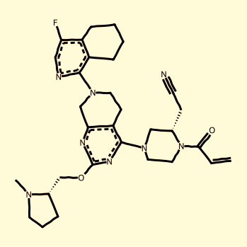 C=CC(=O)N1CCN(c2nc(OC[C@@H]3CCCN3C)nc3c2CCN(c2ncc(F)c4c2CCCC4)C3)C[C@@H]1CC#N